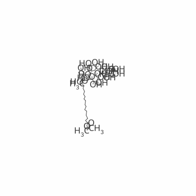 CCCCCCCCCCCCCCCC(=O)OC(C)C.O=C(O)c1ccc(O)cc1.O=P(O)(O)O.OCC(O)CO.OC[C@H]1O[C@@H](O[C@H]2[C@H](O)[C@@H](O)[C@@H](O)O[C@@H]2CO)[C@H](O)[C@@H](O)[C@H]1O.[CH3][K]